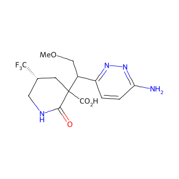 COCC(c1ccc(N)nn1)C1(C(=O)O)C[C@@H](C(F)(F)F)CNC1=O